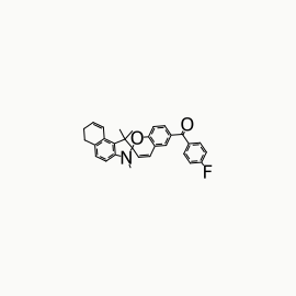 CN1c2ccc3c(c2C(C)(C)C12C=Cc1cc(C(=O)c4ccc(F)cc4)ccc1O2)C=CCC3